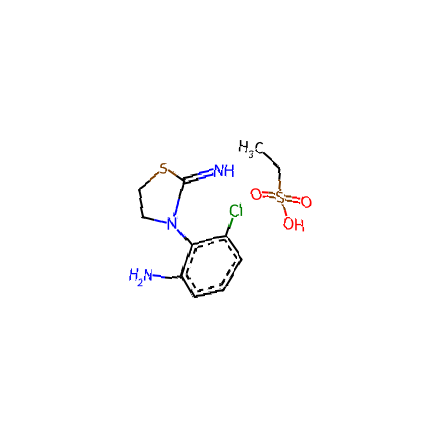 CCS(=O)(=O)O.N=C1SCCN1c1c(N)cccc1Cl